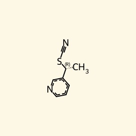 C[C@@H](SC#N)c1cccnc1